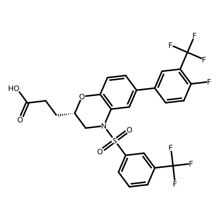 O=C(O)CC[C@H]1CN(S(=O)(=O)c2cccc(C(F)(F)F)c2)c2cc(-c3ccc(F)c(C(F)(F)F)c3)ccc2O1